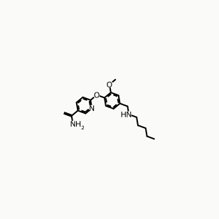 C=C(N)c1ccc(Oc2ccc(CNCCCCC)cc2OC)nc1